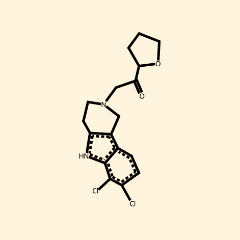 O=C(CN1CCc2[nH]c3c(Cl)c(Cl)ccc3c2C1)C1CCCO1